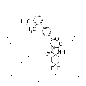 Cc1cccc(-c2ccc(C(=O)CN3C(=O)NC4(CCC(F)(F)CC4)C3=O)cc2)c1C